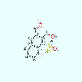 C[SH](C)(=O)c1c(C=O)c(C=O)cc2ccccc12